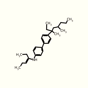 CC/C=C(\CC)Nc1ccc(-c2ccc(C(C)(CC)CC(C)CCC)cc2)cc1